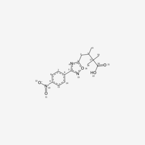 CC(Cc1nc(-c2ccc([N+](=O)[O-])cc2)no1)C(C)(C)C(=O)O